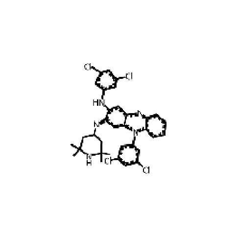 CC1(C)CC(N=c2cc3n(-c4cc(Cl)cc(Cl)c4)c4ccccc4nc-3cc2Nc2cc(Cl)cc(Cl)c2)CC(C)(C)N1